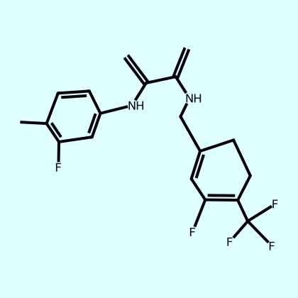 C=C(NCC1=CC(F)=C(C(F)(F)F)CC1)C(=C)Nc1ccc(C)c(F)c1